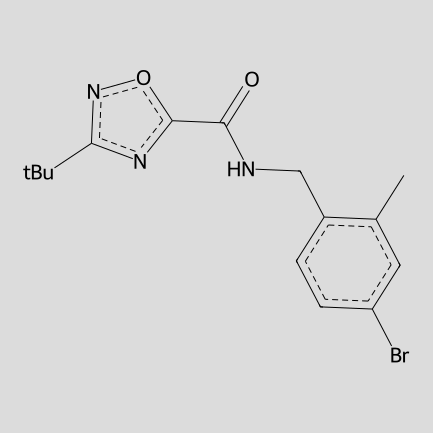 Cc1cc(Br)ccc1CNC(=O)c1nc(C(C)(C)C)no1